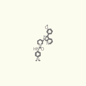 COc1cccc(-c2nn([C@@H]3CCCN(C(=O)Nc4ccc(N(C)C)cc4)C3)c3ncccc23)c1